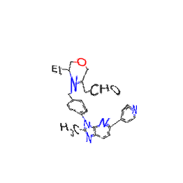 CCC1COCC(CC=O)N1Cc1ccc(-n2c(C)nc3ccc(-c4ccncc4)nc32)cc1